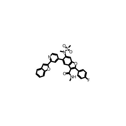 CNC(=O)c1c(-c2ccc(F)cc2)oc2cc(N(C)S(C)(=O)=O)c(-c3ccnc(-c4cc5ccccc5o4)c3)cc12